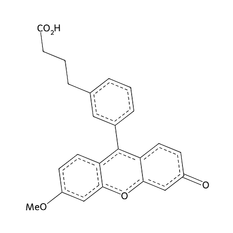 COc1ccc2c(-c3cccc(CCCC(=O)O)c3)c3ccc(=O)cc-3oc2c1